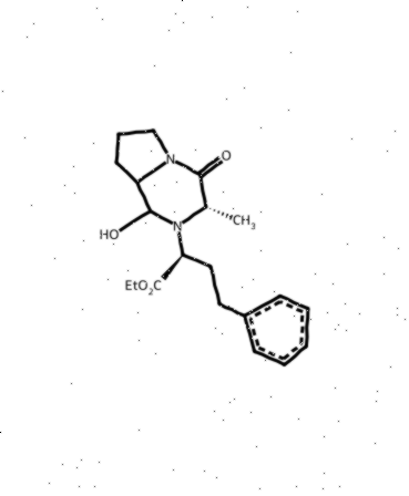 CCOC(=O)[C@H](CCc1ccccc1)N1C(O)C2CCCN2C(=O)[C@@H]1C